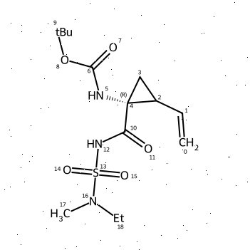 C=CC1C[C@]1(NC(=O)OC(C)(C)C)C(=O)NS(=O)(=O)N(C)CC